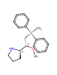 CC(C)O[C@@H](CS(C)(c1ccccc1)c1ccccc1)[C@H]1CCCN1